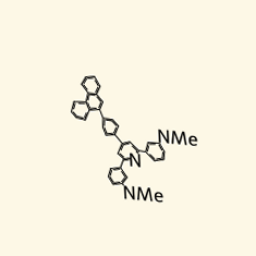 CNc1cccc(-c2cc(-c3ccc(-c4cc5ccccc5c5ccccc45)cc3)cc(-c3cccc(NC)c3)n2)c1